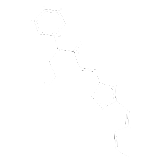 C/C=C\C=N/c1cc(/C=C/C(=O)N(CCO)c2ccccc2)n[nH]1